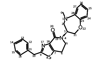 CN1C[C@H](N2CCc3sc(Cc4ccccc4)nc3C2=O)COc2ccccc21